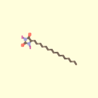 CCCCCCCCCCCCCCCCC1C(=O)N(I)C(=O)N1I